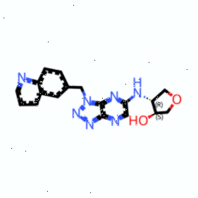 O[C@@H]1COC[C@H]1Nc1cnc2nnn(Cc3ccc4ncccc4c3)c2n1